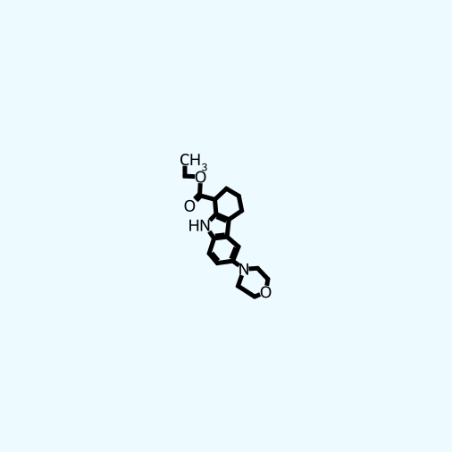 CCOC(=O)C1CCCc2c1[nH]c1ccc(N3CCOCC3)cc21